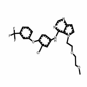 COCCOCCn1ccc2ncnc(Nc3ccc(Oc4cccc(C(F)(F)F)c4)c(Cl)c3)c21